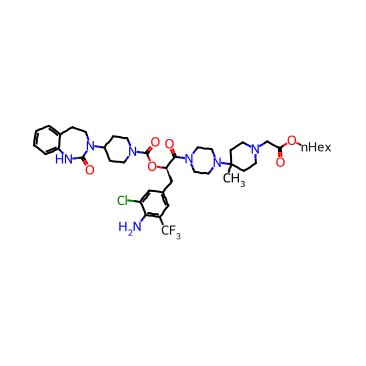 CCCCCCOC(=O)CN1CCC(C)(N2CCN(C(=O)[C@@H](Cc3cc(Cl)c(N)c(C(F)(F)F)c3)OC(=O)N3CCC(N4CCc5ccccc5NC4=O)CC3)CC2)CC1